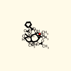 CC(=O)O[C@H]1C2=C(C)[C@@H](C)C[C@@](O)([C@@H](OC(=O)c3ccccc3)[C@@H]3[C@]4(OC(C)=O)CO[C@@H]4C[C@H](C)[C@@]3(C)[C@H]1O)C2(C)C